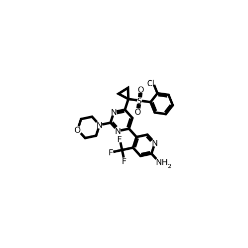 Nc1cc(C(F)(F)F)c(-c2cc(C3(S(=O)(=O)c4ccccc4Cl)CC3)nc(N3CCOCC3)n2)cn1